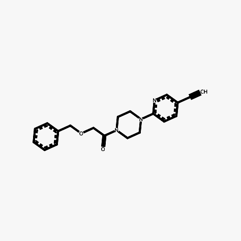 C#Cc1ccc(N2CCN(C(=O)COCc3ccccc3)CC2)nc1